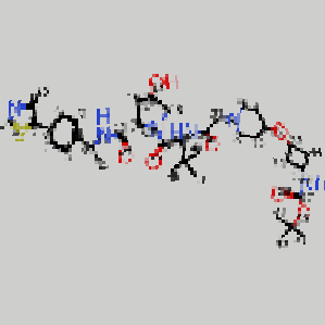 Cc1ncsc1-c1ccc([C@H](C)NC(=O)[C@@H]2C[C@@H](O)CN2C(=O)[C@@H](NC(=O)CN2CCC(O[C@H]3C[C@@H](NC(=O)OC(C)(C)C)C3)CC2)C(C)(C)C)cc1